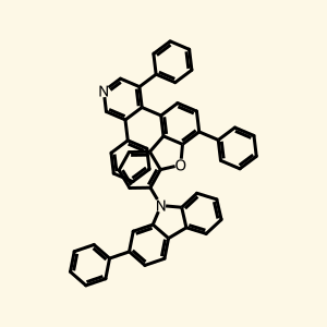 c1ccc(-c2ccc3c4ccccc4n(-c4cccc5c4oc4c(-c6ccccc6)ccc(-c6c(-c7ccccc7)cncc6-c6ccccc6)c45)c3c2)cc1